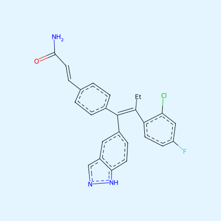 CCC(=C(c1ccc(C=CC(N)=O)cc1)c1ccc2[nH]ncc2c1)c1ccc(F)cc1Cl